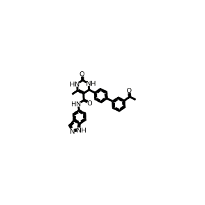 CC(=O)c1cccc(-c2ccc(C3NC(=O)NC(C)=C3C(=O)Nc3ccc4[nH]ncc4c3)cc2)c1